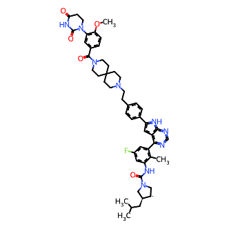 COc1ccc(C(=O)N2CCC3(CCN(CCc4ccc(-c5cc6c(-c7cc(F)cc(NC(=O)N8C[CH][C@@H](CC(C)C)C8)c7C)ncnc6[nH]5)cc4)CC3)CC2)cc1N1CCC(=O)NC1=O